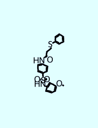 COc1cccc(NS(=O)(=O)c2ccc(NC(=O)CCSc3ccccc3)cc2)c1